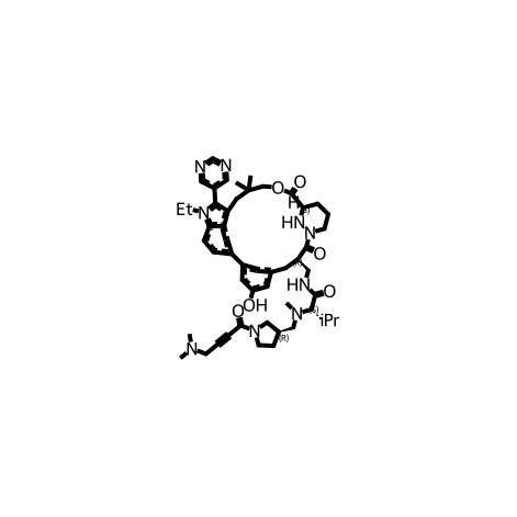 CCn1c(-c2cncnc2)c2c3cc(ccc31)-c1cc(O)cc(c1)C[C@H](CNC(=O)[C@H](C(C)C)N(C)C[C@H]1CCN(C(=O)C#CCN(C)C)C1)C(=O)N1CCC[C@H](N1)C(=O)OCC(C)(C)C2